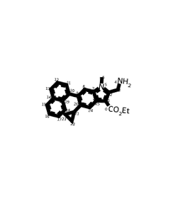 CCOC(=O)c1c(CN)n(C)c2cc(-c3cccc4ccccc34)c(C3CC3)cc12